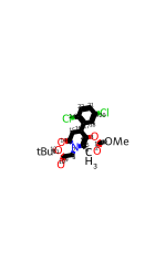 COC(=O)OC1=C(C)N(CC(=O)OC(C)(C)C)C(=O)CC1c1cc(Cl)ccc1Cl